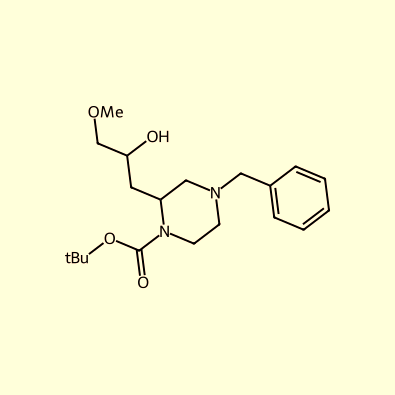 COCC(O)CC1CN(Cc2ccccc2)CCN1C(=O)OC(C)(C)C